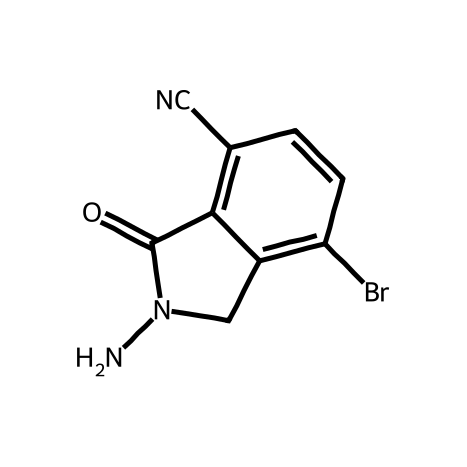 N#Cc1ccc(Br)c2c1C(=O)N(N)C2